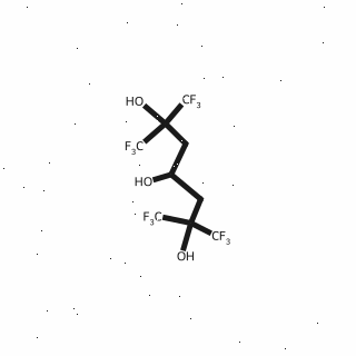 OC(CC(O)(C(F)(F)F)C(F)(F)F)CC(O)(C(F)(F)F)C(F)(F)F